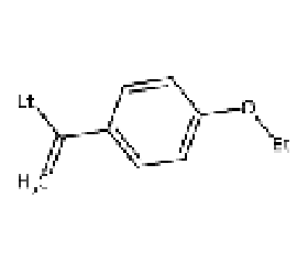 C=C(CC)c1ccc(OCC)cc1